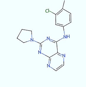 Cc1ccc(Nc2nc(N3CCCC3)nc3nccnc23)cc1Cl